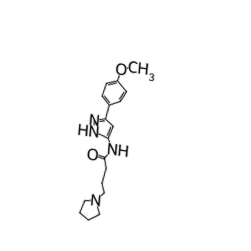 COc1ccc(-c2cc(NC(=O)CCCN3CCCC3)[nH]n2)cc1